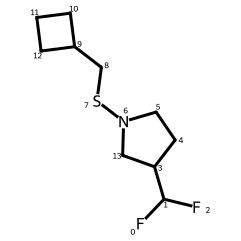 FC(F)C1CCN(SCC2CCC2)C1